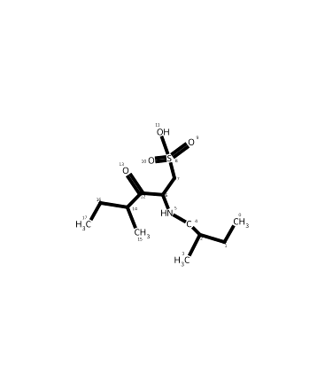 CCC(C)CNC(CS(=O)(=O)O)C(=O)C(C)CC